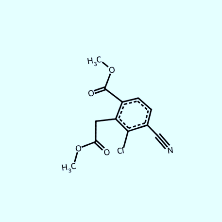 COC(=O)Cc1c(C(=O)OC)ccc(C#N)c1Cl